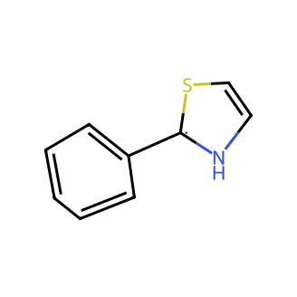 C1=CS[C](c2ccccc2)N1